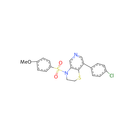 COc1ccc(S(=O)(=O)N2CCSc3c(-c4ccc(Cl)cc4)cncc32)cc1